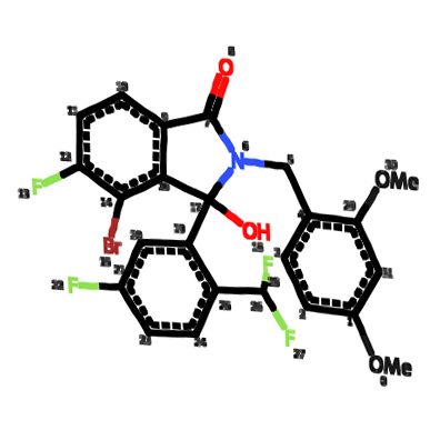 COc1ccc(CN2C(=O)c3ccc(F)c(Br)c3C2(O)c2cc(F)ccc2C(F)F)c(OC)c1